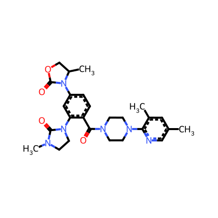 Cc1cnc(N2CCN(C(=O)c3ccc(N4C(=O)OCC4C)cc3N3CCN(C)C3=O)CC2)c(C)c1